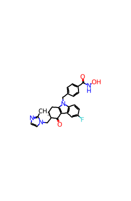 Cc1nccn1CC1CCc2c(c3cc(F)ccc3n2Cc2ccc(C(=O)NO)cc2)C1=O